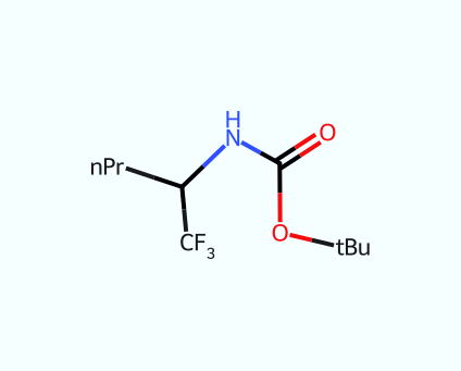 CCCC(NC(=O)OC(C)(C)C)C(F)(F)F